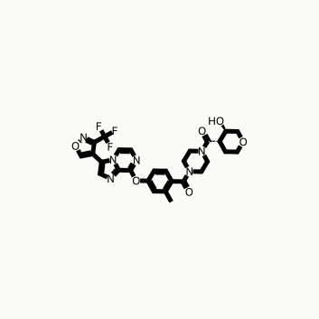 Cc1cc(Oc2nccn3c(-c4conc4C(F)(F)F)cnc23)ccc1C(=O)N1CCN(C(=O)[C@H]2CCOC[C@@H]2O)CC1